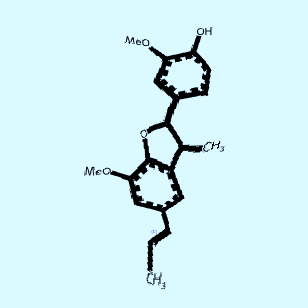 C/C=C/c1cc(OC)c2c(c1)C(C)C(c1ccc(O)c(OC)c1)O2